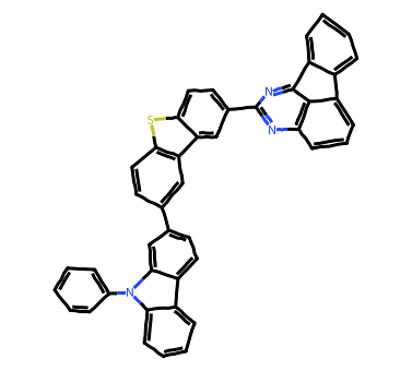 c1ccc(-n2c3ccccc3c3ccc(-c4ccc5sc6ccc(-c7nc8c9c(cccc9n7)-c7ccccc7-8)cc6c5c4)cc32)cc1